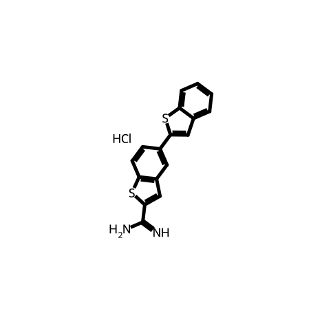 Cl.N=C(N)c1cc2cc(-c3cc4ccccc4s3)ccc2s1